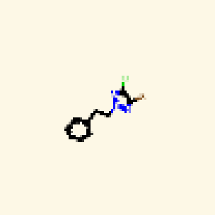 Clc1nn(CCc2ccccc2)nc1Br